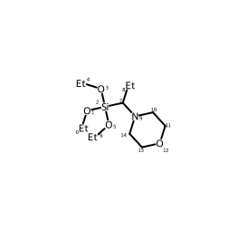 CCO[Si](OCC)(OCC)C(CC)N1CCOCC1